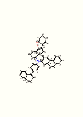 c1ccc2c(-c3ccc(N(c4ccc5c(ccc6ccccc65)c4)c4cccc5c4ccc4c6ccccc6oc54)cc3)cccc2c1